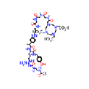 CCC(=O)NCCNC(=O)/N=C(/N)NCCC[C@@H](NC(=O)C(C)c1ccc(NCCCNC(=O)CN(C)C(=O)CN(C)C(=O)CN(C)C(=O)CN2CCN(CC(=O)O)CCN(CC(=O)O)CCN(CC(=O)O)CC2)cc1)C(=O)NCc1ccc(O)cc1